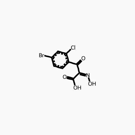 O=C(O)/C(=N\O)C(=O)c1ccc(Br)cc1Cl